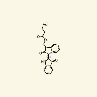 CC(=O)CCC(=O)OCN1C(=O)/C(=C2\Nc3ccccc3C2=O)c2ccccc21